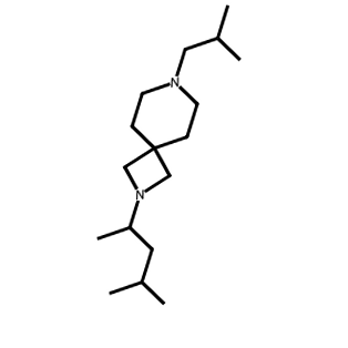 CC(C)CC(C)N1CC2(CCN(CC(C)C)CC2)C1